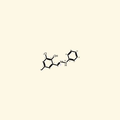 Cc1cc(Cl)c(O)c(/C=N/Nc2ccccc2)c1